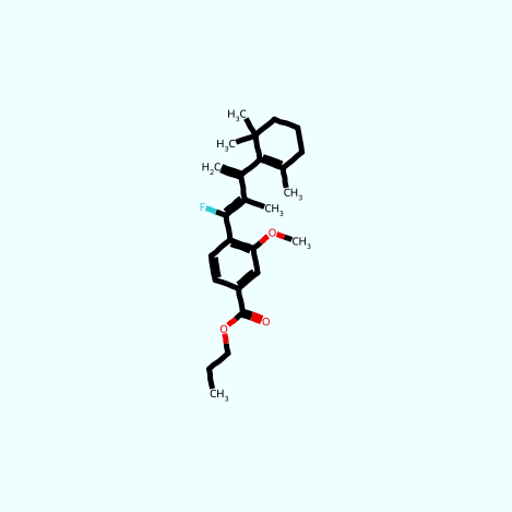 C=C(C1=C(C)CCCC1(C)C)/C(C)=C(\F)c1ccc(C(=O)OCCC)cc1OC